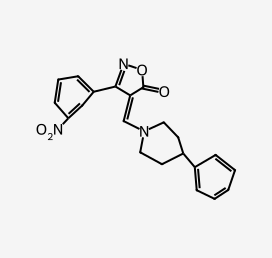 O=C1ON=C(c2cccc([N+](=O)[O-])c2)/C1=C/N1CCC(c2ccccc2)CC1